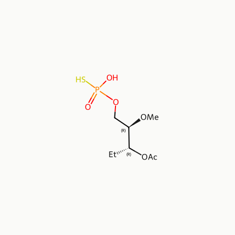 CC[C@@H](OC(C)=O)[C@@H](COP(=O)(O)S)OC